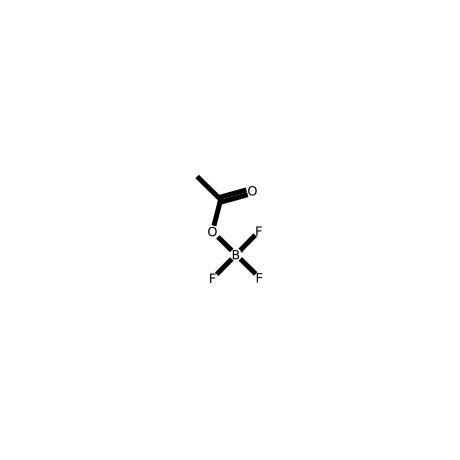 CC(=O)O[B-](F)(F)F